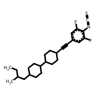 CCC(C)CC1CCC(C2CCC(C#Cc3cc(F)c(N=C=S)c(F)c3)CC2)CC1